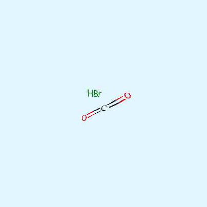 Br.O=C=O